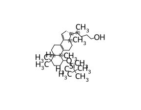 C[C@H](CCCO)[C@H]1CC=C2C3=C(CC[C@@]21C)[C@@]1(C)C(O[Si](C)(C)C(C)(C)C)CCC(C)(C)[C@@H]1CC3